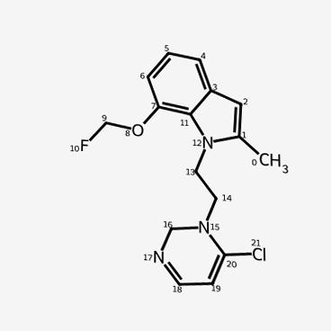 Cc1cc2cccc(OCF)c2n1CCN1CN=CC=C1Cl